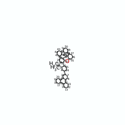 CC1(C)c2cc(-c3ccc4c5ccccc5c5ccccc5c4c3)ccc2-c2c1ccc1c2Oc2ccccc2[Si]1(c1ccccc1)c1ccccc1